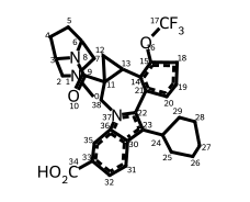 CN1CC2CCC(C1)N2C(=O)C12CC1c1c(OC(F)(F)F)cccc1-c1c(C3CCCCC3)c3ccc(C(=O)O)cc3n1C2